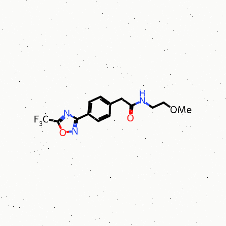 COCCNC(=O)Cc1ccc(-c2noc(C(F)(F)F)n2)cc1